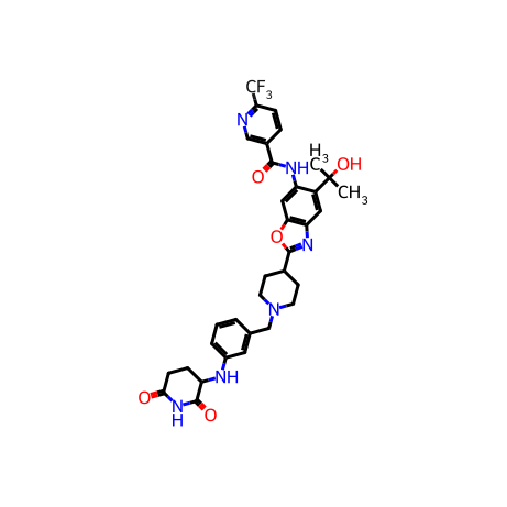 CC(C)(O)c1cc2nc(C3CCN(Cc4cccc(NC5CCC(=O)NC5=O)c4)CC3)oc2cc1NC(=O)c1ccc(C(F)(F)F)nc1